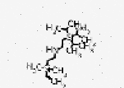 C=C[Si](C)(C)CCNCC[Si](C(C)C)(C(C)C)C(C)C